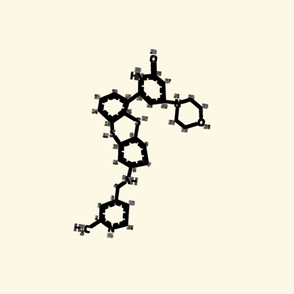 Cc1cc(CNc2ccc3c(c2)Sc2cccc(-c4cc(N5CCOCC5)cc(=O)[nH]4)c2S3)ccn1